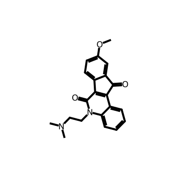 COc1ccc2c(c1)C(=O)c1c-2c(=O)n(CCN(C)C)c2ccccc12